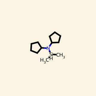 C[SiH](C)N(C1CCCC1)C1CCCC1